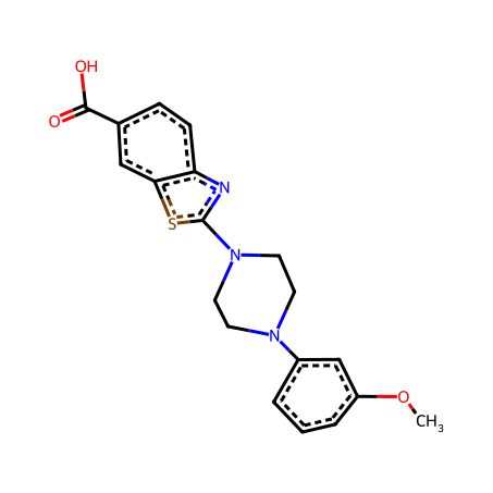 COc1cccc(N2CCN(c3nc4ccc(C(=O)O)cc4s3)CC2)c1